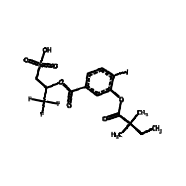 CCC(C)(C)C(=O)Oc1cc(C(=O)OC(CS(=O)(=O)O)C(F)(F)F)ccc1I